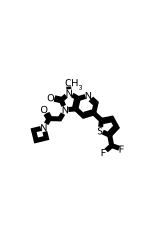 Cn1c(=O)n(CC(=O)N2CCC2)c2cc(-c3ccc(C(F)F)s3)cnc21